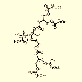 CCCCCCCCC(=O)OCC(COC(=O)CCCCCCCC)CC(=O)OC[C@@H]1C[C@H](OC(=O)CC(COC(=O)CCCCCCCC)COC(=O)CCCCCCCC)CN1.O=C(O)C(F)(F)F